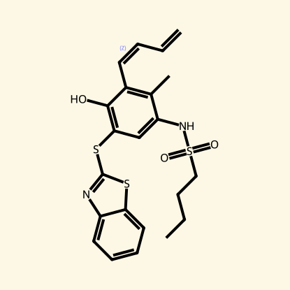 C=C/C=C\c1c(C)c(NS(=O)(=O)CCCC)cc(Sc2nc3ccccc3s2)c1O